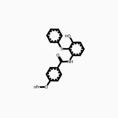 CCCOc1ccc(C(=O)Nc2cccc(O)c2Sc2ccccc2)cc1